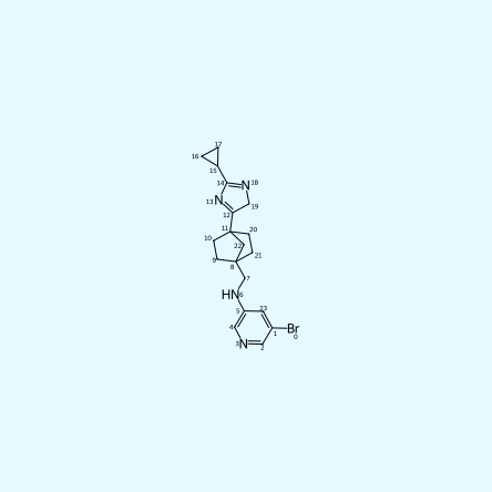 Brc1cncc(NCC23CCC(C4=NC(C5CC5)=NC4)(CC2)C3)c1